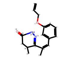 C=CCOc1cccc(C=C(C)C2=NNC(=O)CC2C)c1